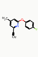 C#Cc1cc([CH2])cc(Oc2ccc(F)cc2)n1